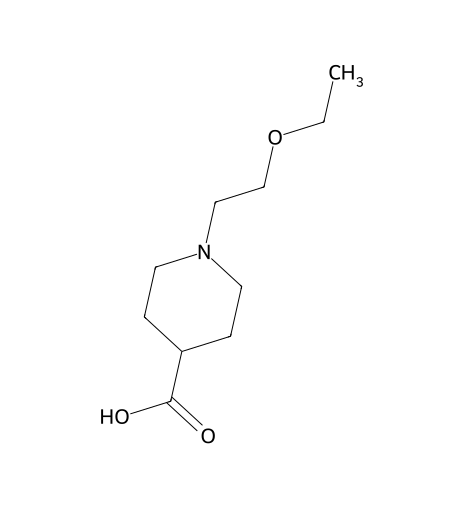 CCOCCN1CCC(C(=O)O)CC1